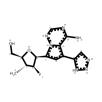 C[C@H]1[C@H](F)[C@H](c2cc(-c3cnn[nH]3)c3c(N)ncnn23)O[C@@H]1CO